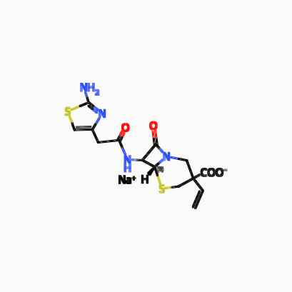 C=CC1(C(=O)[O-])CS[C@@H]2C(NC(=O)Cc3csc(N)n3)C(=O)N2C1.[Na+]